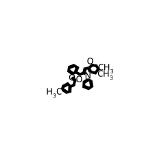 Cc1ccc(CC(=O)OC(c2ccccc2)c2cc3c(n2-c2ccccc2)CC(C)(C)CC3=O)cc1